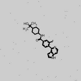 CC(C)(O)C1CCC(NC(=O)c2ccc(-c3nccc4[nH]ccc34)c(F)c2)CC1